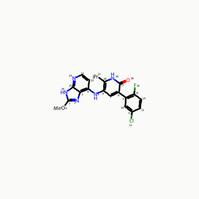 COc1nc2c(Nc3cc(-c4cc(Cl)ccc4F)c(=O)[nH]c3C(C)C)ccnc2[nH]1